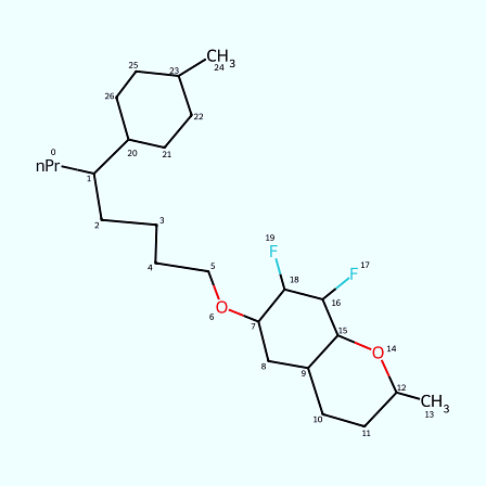 CCCC(CCCCOC1CC2CCC(C)OC2C(F)C1F)C1CCC(C)CC1